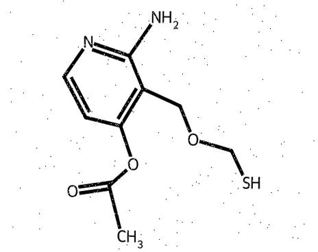 CC(=O)Oc1ccnc(N)c1COCS